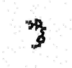 CC(Br)c1ncnc(NCCc2ccc(OC(F)(F)F)cc2)c1I